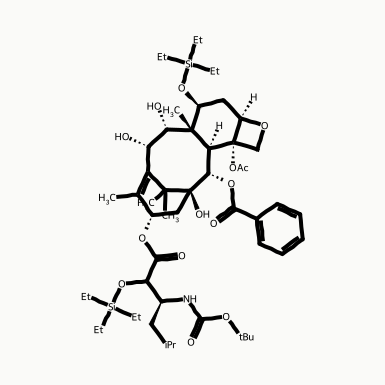 CC[Si](CC)(CC)OC(C(=O)O[C@H]1C[C@@]2(O)[C@@H](OC(=O)c3ccccc3)[C@@H]3[C@]4(OC(C)=O)CO[C@@H]4C[C@H](O[Si](CC)(CC)CC)[C@@]3(C)[C@@H](O)[C@@H](O)C(=C1C)C2(C)C)[C@H](CC(C)C)NC(=O)OC(C)(C)C